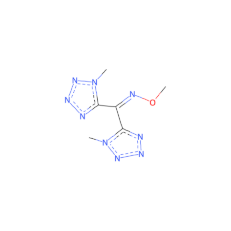 CON=C(c1nnnn1C)c1nnnn1C